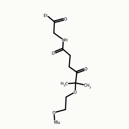 CCC(=O)CNC(=O)CCC(=O)C(C)(C)OCCOC(C)(C)C